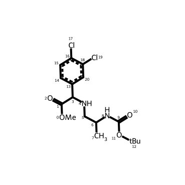 COC(=O)C(NCC(C)NC(=O)OC(C)(C)C)c1ccc(Cl)c(Cl)c1